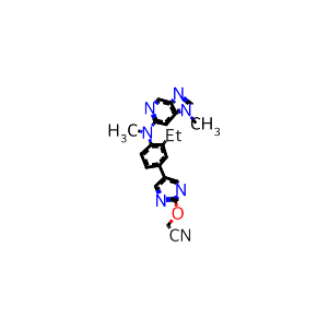 CCc1cc(-c2cnc(OCC#N)nc2)ccc1N(C)c1cc2c(cn1)ncn2C